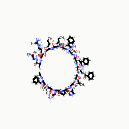 CCCC[C@@H]1NC(=O)[C@H](CCCC)N(C)C(=O)[C@H](Cc2c[nH]c3ccccc23)NC(=O)[C@H](CO)NC(=O)[C@H](Cc2c[nH]c3ccccc23)NC(=O)[C@H](CCNC(=O)c2ccccc2)NC(=O)[C@H](CC(C)C)NC(=O)[C@H](Cc2cnc[nH]2)NC(=O)[C@@H]2CCCN2C(=O)[C@H](CC(N)=O)NC(=O)[C@H](C)N(C)C(=O)[C@H](Cc2ccccc2)NC(=O)CSC[C@@H](C(=O)NCC(N)=O)NC(=O)[C@H](CCCNC(=N)N)NC1=O